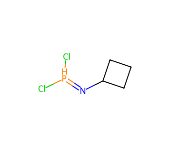 Cl[PH](Cl)=NC1CCC1